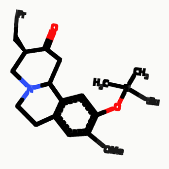 COc1cc2c(cc1O[Si](C)(C)C(C)(C)C)C1CC(=O)[C@H](CC(C)C)CN1CC2